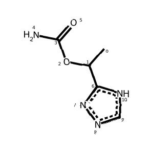 CC(OC(N)=O)c1nnc[nH]1